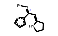 CC(C)/N=C(/C=C1/CCCN1)c1cccs1